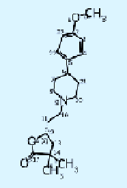 COc1ccc(C2CCN(CC[C@@H]3CC(C)(C)C(=O)O3)CC2)cc1